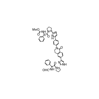 COC(=O)N[C@@H](C(=O)N1CCC[C@H]1c1ncc(-c2ccc(N3CCc4cc(-c5c[nH]c([C@@H]6CCCN6C(=O)[C@H](NC=O)c6ccccc6)n5)ccc4C3=O)cc2)[nH]1)c1ccccc1